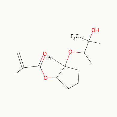 C=C(C)C(=O)OC1CCCC1(OC(C)C(C)(O)C(F)(F)F)C(C)C